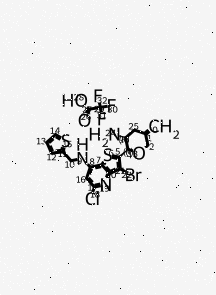 C=C1CO[C@@H](c2sc3c(NCc4cccs4)cc(Cl)nc3c2Br)[C@H](N)C1.O=C(O)C(F)(F)F